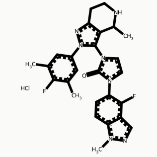 Cc1cc(-n2nc3c(c2-n2ccn(-c4ccc5c(cnn5C)c4F)c2=O)C(C)NCC3)cc(C)c1F.Cl